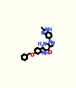 Cc1nc2cc(-n3ncc(C(=O)c4cc5ccc(OCc6ccccc6)cc5[nH]4)c3N)ccc2[nH]1